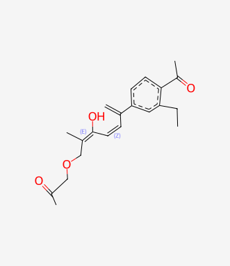 C=C(/C=C\C(O)=C(\C)COCC(C)=O)c1ccc(C(C)=O)c(CC)c1